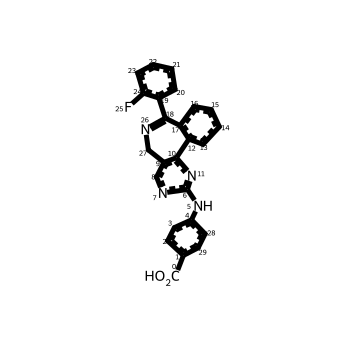 O=C(O)c1ccc(Nc2ncc3c(n2)-c2ccccc2C(c2ccccc2F)=NC3)cc1